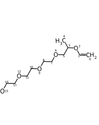 C=COC(C)COCCOCCOCCO